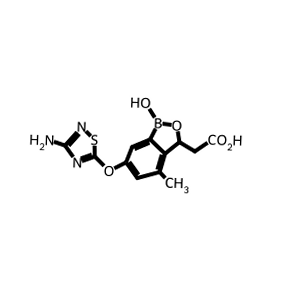 Cc1cc(Oc2nc(N)ns2)cc2c1C(CC(=O)O)OB2O